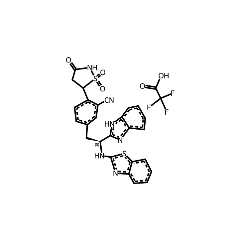 N#Cc1cc(C[C@H](Nc2nc3ccccc3s2)c2nc3ccccc3[nH]2)ccc1C1CC(=O)NS1(=O)=O.O=C(O)C(F)(F)F